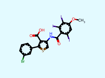 COc1cc(I)c(C(=O)Nc2csc(-c3cccc(Br)c3)c2C(=O)O)c(I)c1I